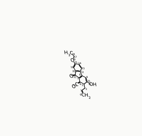 C=CCC1C(=C=O)C2=C(C=C1O)c1ccc(OCC)cc1C2=O